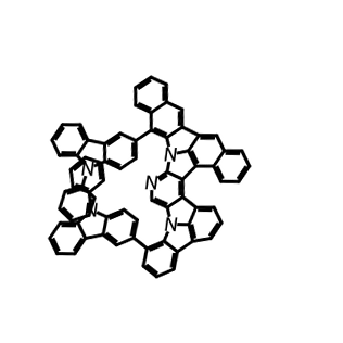 c1ccc(-n2c3ccccc3c3cc(-c4cccc5c6cccc7c8c9c%10c%11ccccc%11cc%11c%12cc%13ccccc%13c(-c%13ccc%14c(c%13)c%13ccccc%13n%14-c%13ccccc%13)c%12n(c9ncc8n(c45)c67)c%11%10)ccc32)cc1